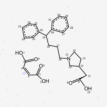 O=C(O)/C=C\C(=O)O.O=C(O)CC1CCN(CCCC(c2ccccc2)c2ccccc2)C1